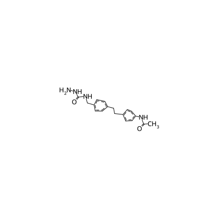 CC(=O)Nc1ccc(CCc2ccc(CNC(=O)NN)cc2)cc1